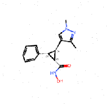 Cc1nn(C)cc1[C@H]1[C@H](C(=O)NO)[C@@H]1c1ccccc1